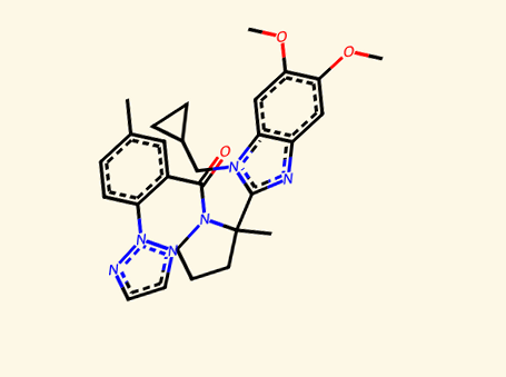 COc1cc2nc(C3(C)CCCN3C(=O)c3cc(C)ccc3-n3nccn3)n(CC3CC3)c2cc1OC